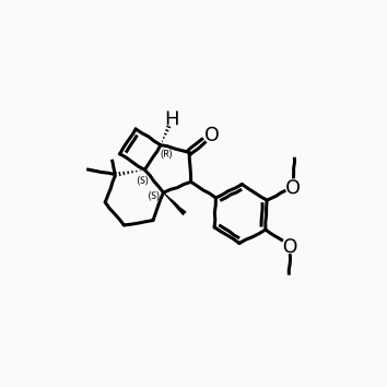 COc1ccc(C2C(=O)[C@@H]3C=C[C@@]34C(C)(C)CCC[C@@]24C)cc1OC